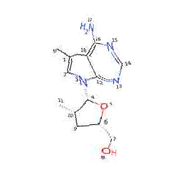 Cc1cn([C@@H]2O[C@H](CO)C[C@@H]2C)c2ncnc(N)c12